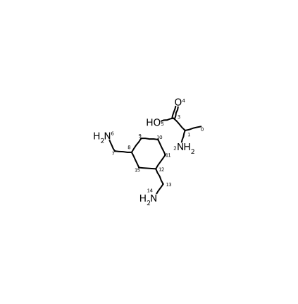 CC(N)C(=O)O.NCC1CCCC(CN)C1